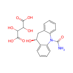 NC(=O)N1c2ccccc2C[C@H](O)c2ccccc21.O=C(O)C(O)C(O)C(=O)O